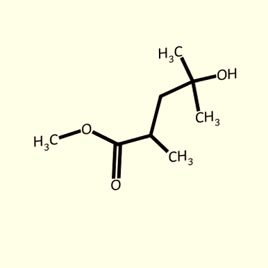 COC(=O)C(C)CC(C)(C)O